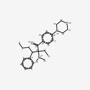 CCCC(c1ccccc1)C(CC)(C(=O)c1ccc(N2CCOCC2)cc1)N(C)C